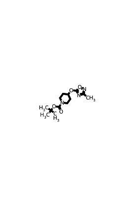 Cc1noc(OC2CCN(C(=O)OC(C)(C)C)CC2)n1